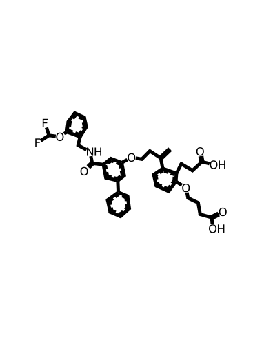 C=C(CCOc1cc(C(=O)NCc2ccccc2OC(F)F)cc(-c2ccccc2)c1)c1cccc(OCCCC(=O)O)c1CCC(=O)O